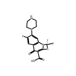 C[C@]1(F)Sc2c(C(=O)O)c(=O)c3cc(F)c(N4CCNCC4)cc3n21